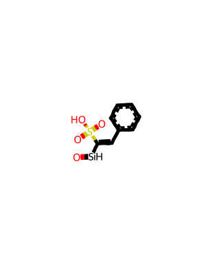 O=[SiH]C(=Cc1ccccc1)S(=O)(=O)O